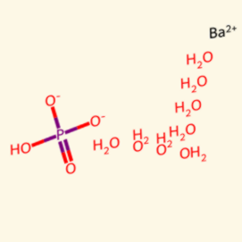 O.O.O.O.O.O.O.O.O=P([O-])([O-])O.[Ba+2]